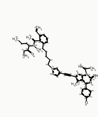 C=Cc1cccc(CCCCCn2cc(C#Cc3sc4c(c(-c5ccc(Cl)cc5)nc(=N)n4C(C)=N)c3C)cn2)c1C(=C)N(C)C(CCC)C(=O)CN